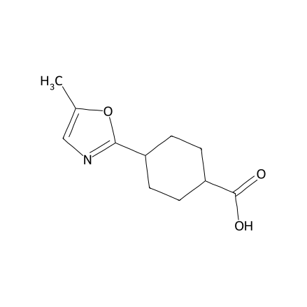 Cc1cnc(C2CCC(C(=O)O)CC2)o1